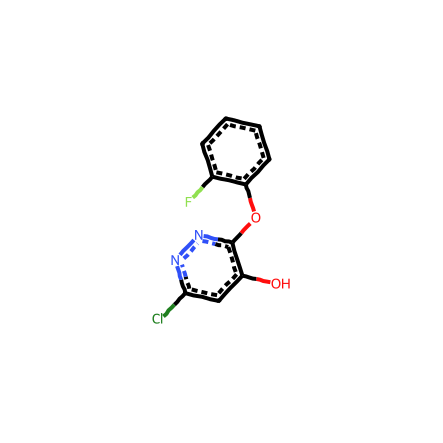 Oc1cc(Cl)nnc1Oc1ccccc1F